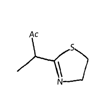 CC(=O)C(C)C1=NCCS1